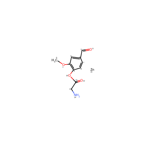 COc1cc(C=O)ccc1OC(=O)CN.[Zn]